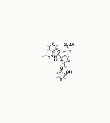 CC(C)CC(NC(=O)c1cc(COc2ccccc2O)ccc1CCC(=O)O)c1ccccc1